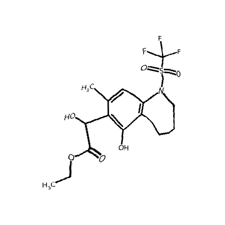 CCOC(=O)C(O)c1c(C)cc2c(c1O)CCCN2S(=O)(=O)C(F)(F)F